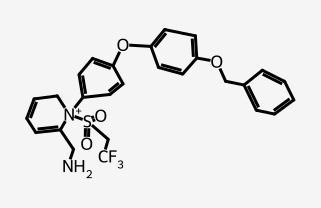 NCC1=CC=CC[N+]1(c1ccc(Oc2ccc(OCc3ccccc3)cc2)cc1)S(=O)(=O)CC(F)(F)F